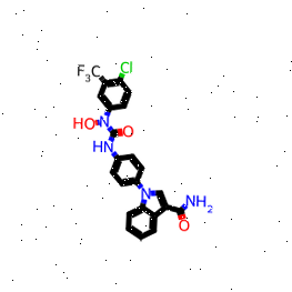 NC(=O)c1cn(-c2ccc(NC(=O)N(O)c3ccc(Cl)c(C(F)(F)F)c3)cc2)c2cc[c]cc12